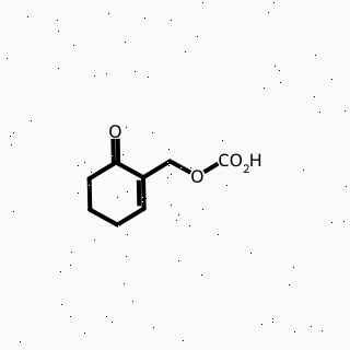 O=C(O)OCC1=CCCCC1=O